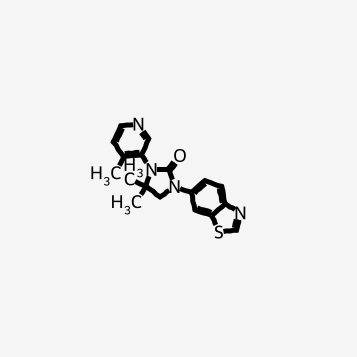 Cc1ccncc1N1C(=O)N(c2ccc3ncsc3c2)CC1(C)C